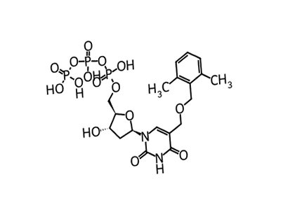 Cc1cccc(C)c1COCc1cn([C@H]2C[C@H](O)[C@@H](COP(=O)(O)OP(=O)(O)OP(=O)(O)O)O2)c(=O)[nH]c1=O